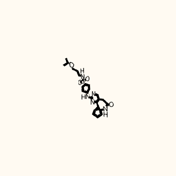 CC(C)OCCCNS(=O)(=O)c1ccc(Nc2ncc3c(n2)-c2ccccc2NC(=O)C3)cc1